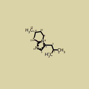 CC(C)Cc1cnc2n1CC[C@@H](C)S2